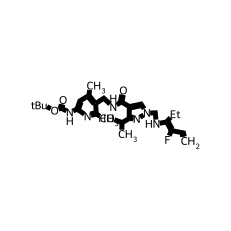 C=C/C(F)=C(\CC)NCn1cc(C(=O)NCc2c(C)cc(NC(=O)OC(C)(C)C)nc2C)c(C(C)O)n1